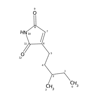 CCC(C)CCC1=CC(=O)NC1=O